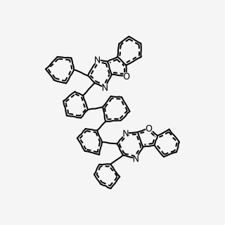 c1ccc(-c2nc3c(nc2-c2ccccc2-c2ccccc2-c2ccccc2-c2nc4oc5ccccc5c4nc2-c2ccccc2)oc2ccccc23)cc1